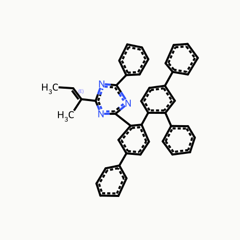 C/C=C(\C)c1nc(-c2ccccc2)nc(-c2cc(-c3ccccc3)ccc2-c2ccc(-c3ccccc3)cc2-c2ccccc2)n1